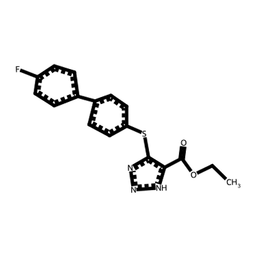 CCOC(=O)c1[nH]nnc1Sc1ccc(-c2ccc(F)cc2)cc1